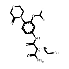 CC(C)(C)CN[C@H](C(N)=O)C(=O)Nc1ccc(N2CCOCC2=O)c(OC(F)F)c1